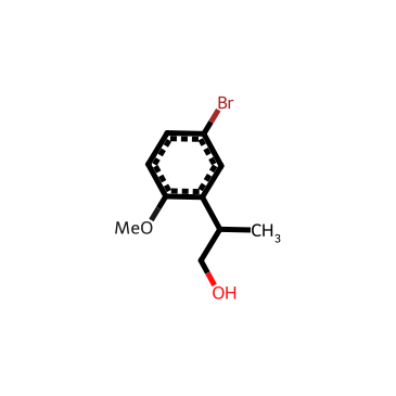 COc1ccc(Br)cc1C(C)CO